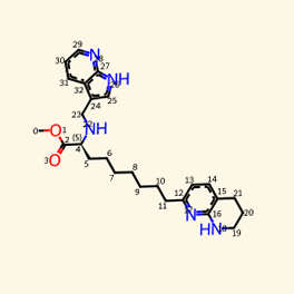 COC(=O)[C@H](CCCCCCCc1ccc2c(n1)NCCC2)NCc1c[nH]c2ncccc12